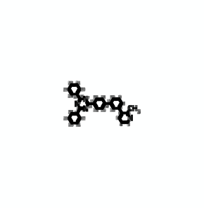 Cc1ncccc1-c1cccc(-c2ccc(-c3nc(-c4ccccc4)nc(-c4ccccc4)n3)cc2)c1